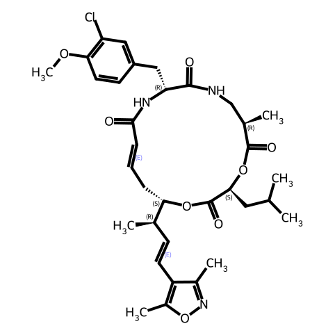 COc1ccc(C[C@H]2NC(=O)/C=C/C[C@@H]([C@H](C)/C=C/c3c(C)noc3C)OC(=O)[C@H](CC(C)C)OC(=O)[C@H](C)CNC2=O)cc1Cl